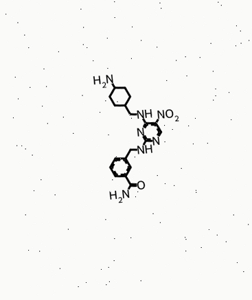 NC(=O)c1cccc(CNc2ncc([N+](=O)[O-])c(NCC3CCC(N)CC3)n2)c1